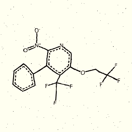 O=[N+]([O-])c1ncc(OCC(F)(F)F)c(C(F)(F)F)c1-c1ccccc1